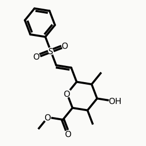 COC(=O)C1OC(/C=C/S(=O)(=O)c2ccccc2)C(C)C(O)C1C